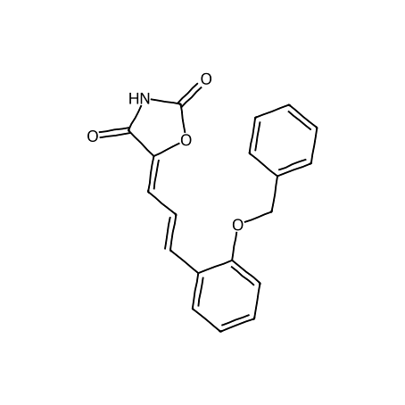 O=C1NC(=O)C(=CC=Cc2ccccc2OCc2ccccc2)O1